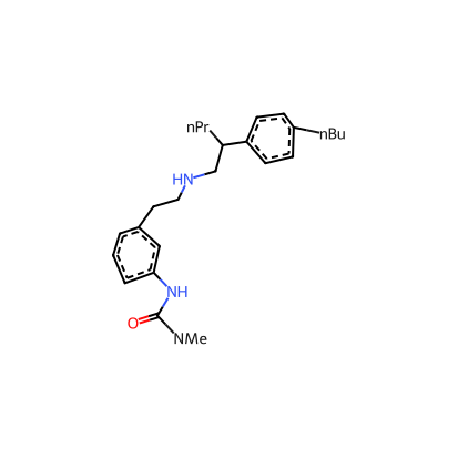 CCCCc1ccc(C(CCC)CNCCc2cccc(NC(=O)NC)c2)cc1